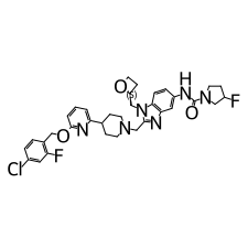 O=C(Nc1ccc2c(c1)nc(CN1CCC(c3cccc(OCc4ccc(Cl)cc4F)n3)CC1)n2C[C@@H]1CCO1)N1CCC(F)C1